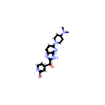 CN(C)C1CCN(c2ccc3nc(C(=O)c4ccnc(Br)c4)[nH]c3n2)CC1